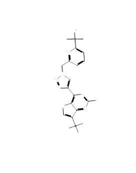 CC(C)(O)c1cccc(Cn2cc(-c3nc(N)nc4c(C(F)(F)F)csc34)nn2)n1